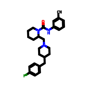 N#Cc1cccc(NC(=O)N2CCCCC2CN2CCC(Cc3ccc(F)cc3)CC2)c1